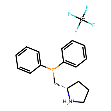 F[B-](F)(F)F.c1ccc(P(C[C@@H]2CCC[NH2+]2)c2ccccc2)cc1